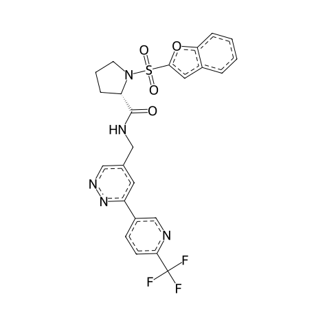 O=C(NCc1cnnc(-c2ccc(C(F)(F)F)nc2)c1)[C@@H]1CCCN1S(=O)(=O)c1cc2ccccc2o1